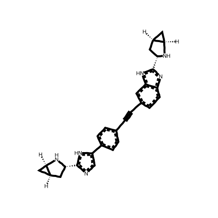 C(#Cc1ccc2nc([C@@H]3C[C@H]4C[C@H]4N3)[nH]c2c1)c1ccc(-c2cnc([C@@H]3C[C@H]4C[C@H]4N3)[nH]2)cc1